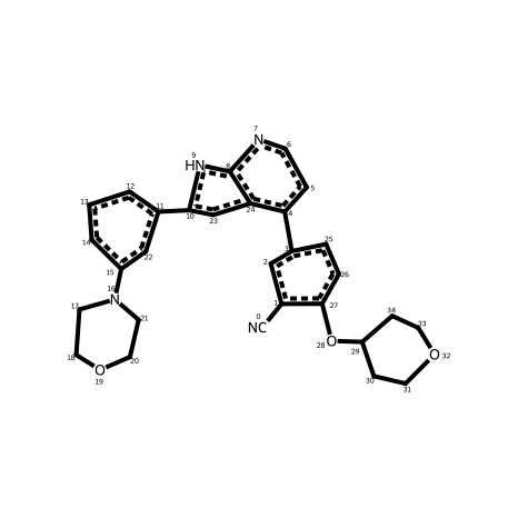 N#Cc1cc(-c2ccnc3[nH]c(-c4cccc(N5CCOCC5)c4)cc23)ccc1OC1CCOCC1